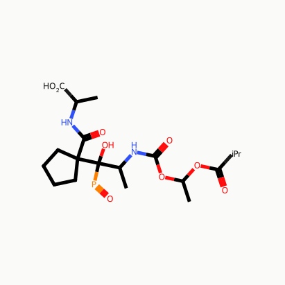 CC(OC(=O)NC(C)C(O)(P=O)C1(C(=O)NC(C)C(=O)O)CCCC1)OC(=O)C(C)C